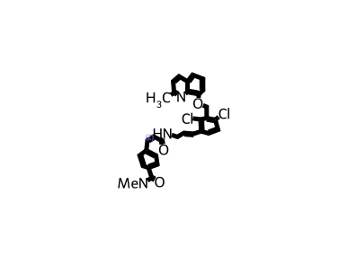 CNC(=O)c1ccc(/C=C\C(=O)NCC=Cc2ccc(Cl)c(COc3cccc4ccc(C)nc34)c2Cl)cc1